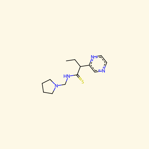 CCC(C(=S)NCN1CCCC1)c1cnccn1